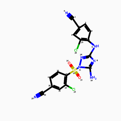 N#Cc1ccc(Nc2nc(N)n(S(=O)(=O)c3ccc(C#N)cc3Cl)n2)c(Cl)c1